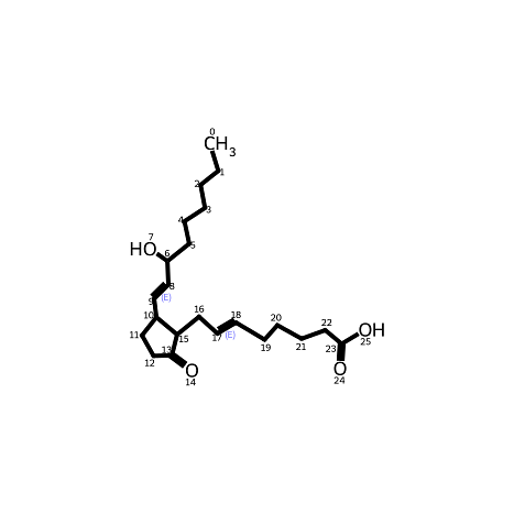 CCCCCCC(O)/C=C/C1CCC(=O)C1C/C=C/CCCCC(=O)O